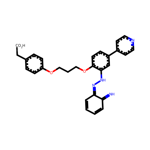 N=C1C=CC=C/C1=N/Nc1cc(-c2ccncc2)ccc1OCCCOc1ccc(CC(=O)O)cc1